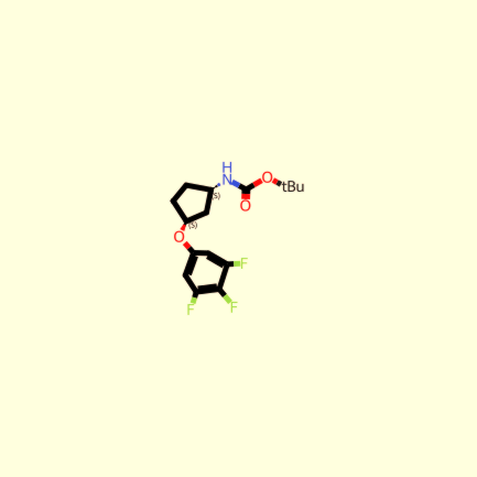 CC(C)(C)OC(=O)N[C@H]1CC[C@H](Oc2cc(F)c(F)c(F)c2)C1